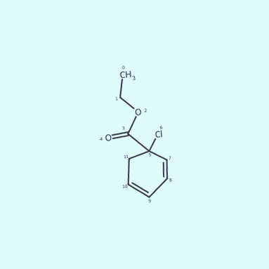 CCOC(=O)C1(Cl)C=CC=CC1